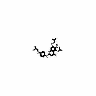 COc1c(OCC(C)C)cc2oc(Oc3ccc(OCC(C)C)cc3)cc(=O)c2c1OC(C)C